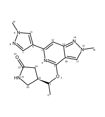 CC(Oc1nc(-c2cnn(C)c2)cc2nn(C)cc12)[C@H]1CNC(=O)C1